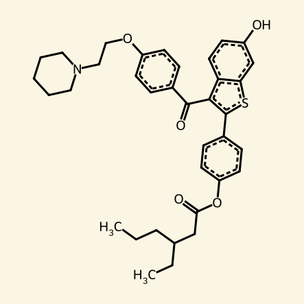 CCCC(CC)CC(=O)Oc1ccc(-c2sc3cc(O)ccc3c2C(=O)c2ccc(OCCN3CCCCC3)cc2)cc1